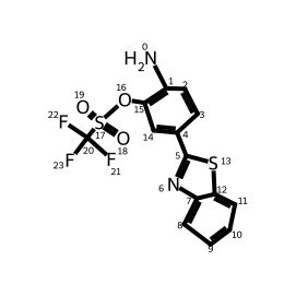 Nc1ccc(-c2nc3ccccc3s2)cc1OS(=O)(=O)C(F)(F)F